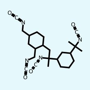 CC(C)(N=C=O)C1CCCC(C(C)(CC2CCC(CN=C=O)CC2CN=C=O)N=C=O)C1